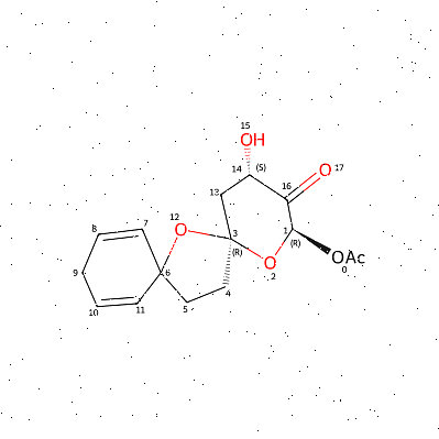 CC(=O)O[C@H]1O[C@]2(CCC3(C=CCC=C3)O2)C[C@H](O)C1=O